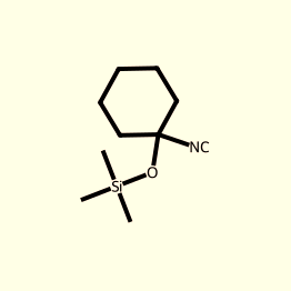 [C-]#[N+]C1(O[Si](C)(C)C)CCCCC1